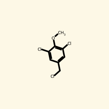 COc1c(Cl)cc(CCl)cc1Cl